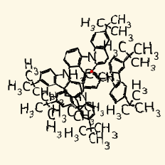 CC(C)C1=CCc2cc(C(C)(C)C)ccc2N1c1cccc(-n2c3ccc(C(C)(C)C)cc3c3cc(C(C)(C)C)ccc32)c1-c1cc(-n2c3ccc(C(C)(C)C)cc3c3cc(C(C)(C)C)ccc32)cc(-n2c3ccc(C(C)(C)C)cc3c3cc(C(C)(C)C)ccc32)c1